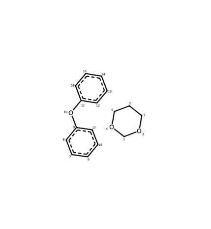 C1COCOC1.c1ccc(Oc2ccccc2)cc1